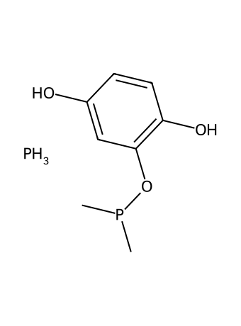 CP(C)Oc1cc(O)ccc1O.P